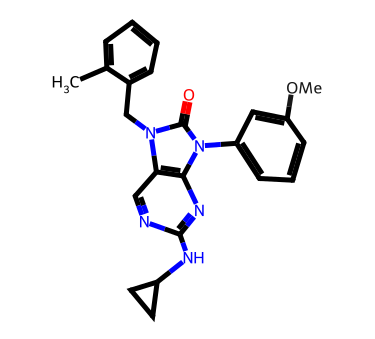 COc1cccc(-n2c(=O)n(Cc3ccccc3C)c3cnc(NC4CC4)nc32)c1